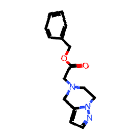 O=C(CN1CCn2nccc2C1)OCc1ccccc1